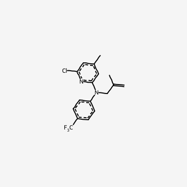 C=C(C)CN(c1ccc(C(F)(F)F)cc1)c1cc(C)cc(Cl)n1